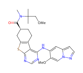 COCC(C)(C)N(C)C(=O)[C@H]1CCc2c(sc3ncnc(Nc4cc5ccnn5cc4OC)c23)C1